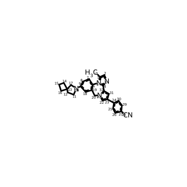 Cc1cnc2n1-c1ccc(N3CCC4(CCC4)C3)cc1Cn1cc(-c3ccc(C#N)cc3)cc1-2